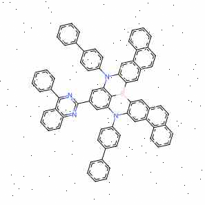 c1ccc(-c2ccc(N3c4cc5c(ccc6ccccc65)cc4B4c5cc6ccc7ccccc7c6cc5N(c5ccc(-c6ccccc6)cc5)c5cc(-c6nc(-c7ccccc7)c7ccccc7n6)cc3c54)cc2)cc1